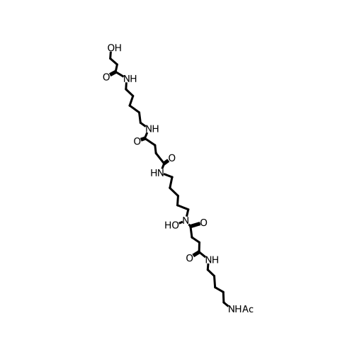 CC(=O)NCCCCCNC(=O)CCC(=O)N(O)CCCCCNC(=O)CCC(=O)NCCCCCNC(=O)CCO